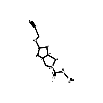 C#CCOC1CC2CN(C(=O)OC(C)(C)C)CC2C1